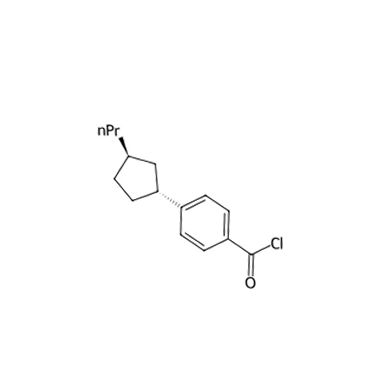 CCC[C@@H]1CC[C@@H](c2ccc(C(=O)Cl)cc2)C1